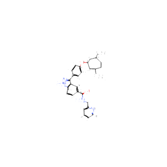 CC1CCC(C)CC(Oc2ccc(-c3n[nH]c4ccc(C(=O)NCc5ccccn5)cc34)cc2)C1